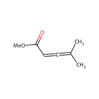 COC(=O)[C]=C=C(C)C